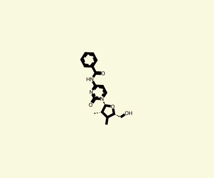 CC1[C@@H](CO)O[C@@H](n2ccc(NC(=O)c3ccccc3)nc2=O)[C@H]1C